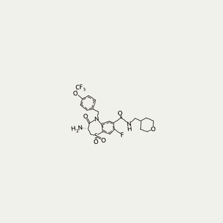 N[C@H]1CS(=O)(=O)c2cc(F)c(C(=O)NCC3CCOCC3)cc2N(Cc2ccc(OC(F)(F)F)cc2)C1=O